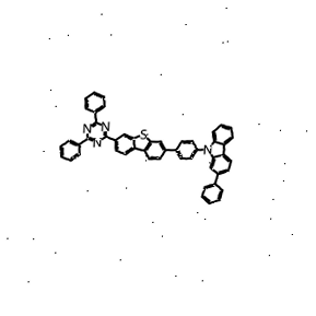 c1ccc(-c2ccc3c4ccccc4n(-c4ccc(-c5ccc6c(c5)sc5cc(-c7nc(-c8ccccc8)nc(-c8ccccc8)n7)ccc56)cc4)c3c2)cc1